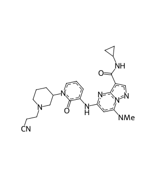 CNc1cc(Nc2cccn(C3CCCN(CCC#N)C3)c2=O)nc2c(C(=O)NC3CC3)cnn12